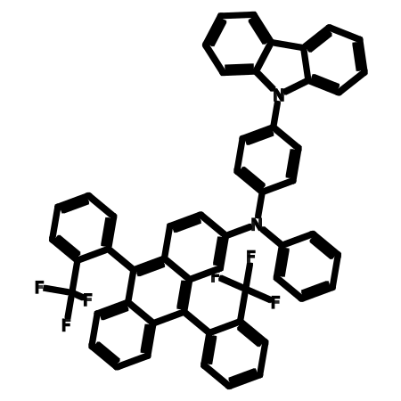 FC(F)(F)c1ccccc1-c1c2ccccc2c(-c2ccccc2C(F)(F)F)c2cc(N(c3ccccc3)c3ccc(-n4c5ccccc5c5ccccc54)cc3)ccc12